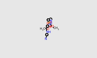 CCOC(=O)CN(c1ccc2c(C)c(CNc3ccc(C#N)cc3)oc2c1)S(=O)(=O)c1cccc2c1NCCC2